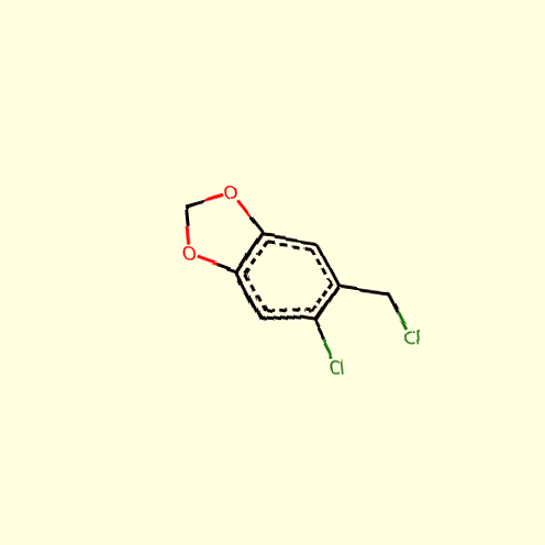 ClCc1cc2c(cc1Cl)OCO2